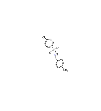 Cc1ccc(/C=N/S(=O)(=O)c2ccc(Cl)cc2)cc1